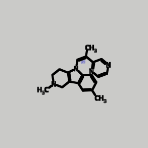 C/C(=C/n1c2c(c3cc(C)ccc31)CN(C)CC2)c1cnccn1